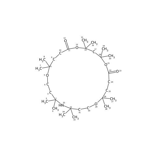 CC1(C)CCOC(C)(C)CCC(=O)OC(C)(C)CC(C)(C)OC(=O)CCC(C)(C)OCCC(C)(C)N1